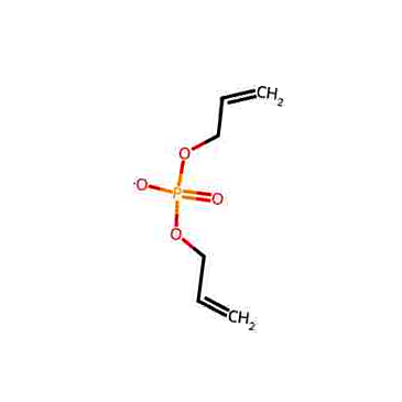 C=CCOP([O])(=O)OCC=C